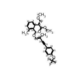 CO/N=C(/C(=O)OC)c1cccc(C)c1CO/N=C(\C)C#Cc1ccc(OC(F)(F)F)cc1